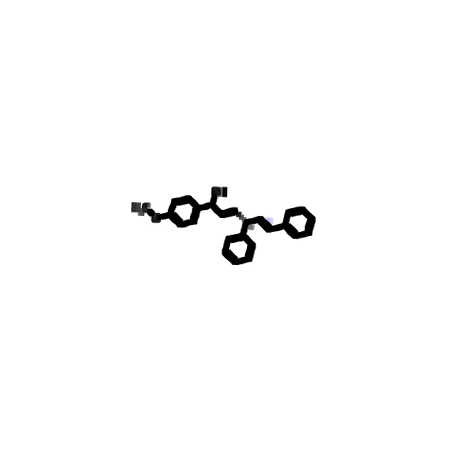 COc1ccc(C(O)C=C[C@H](/C=C/c2ccccc2)c2ccccc2)cc1